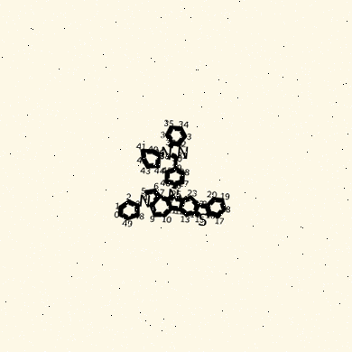 c1ccc(-n2ccc3c2ccc2c4cc5sc6ccccc6c5cc4n(-c4ccc(-c5nc6ccccc6n5-c5ccccc5)cc4)c23)cc1